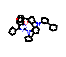 c1ccc(-c2cccc(-n3c4ccc5c6ccccc6oc5c4c4c3ccc3c5ccccc5n(-c5nc(-c6ccccc6)c6ccccc6n5)c34)c2)cc1